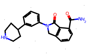 NC(=O)c1cccc2c1C(=O)N(c1cccc(C3CCNCC3)c1)C2